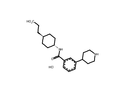 Cl.O=C(O)CC[C@H]1CC[C@H](NC(=O)c2cccc(C3CCNCC3)c2)CC1